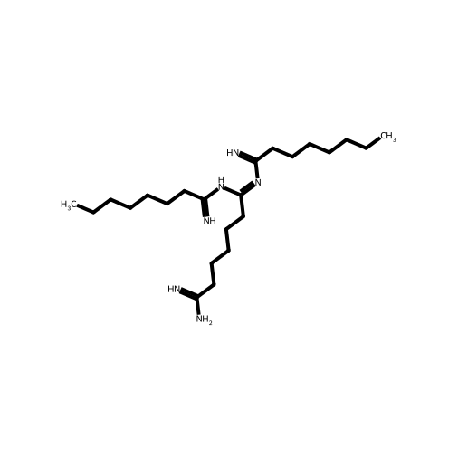 CCCCCCCC(=N)N=C(CCCCCC(=N)N)NC(=N)CCCCCCC